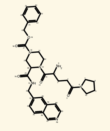 NC(CCC(=O)N1CCCC1)C(=O)N1CCN(C(=O)OCc2ccccc2)CC1C(=O)NCc1ccc2cnccc2c1